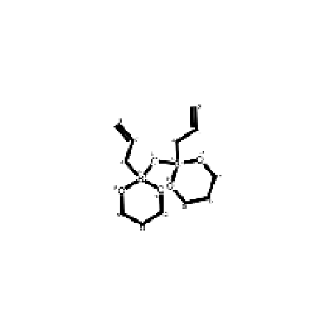 C=CC[B-]1(O[B-]2(CC=C)OCCCO2)OCCCO1